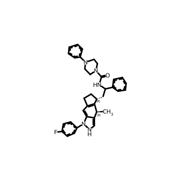 C[C@H]1C2=CNN(c3ccc(F)cc3)C2=CC2=C1[C@@H](CC(NC(=O)N1CCN(c3ccccc3)CC1)c1ccccc1)CC2